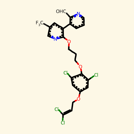 O=Cc1ncccc1-c1cc(C(F)(F)F)cnc1OCCCOc1c(Cl)cc(OCC=C(Cl)Cl)cc1Cl